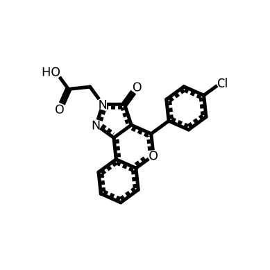 O=C(O)Cn1nc2c3ccccc3oc(-c3ccc(Cl)cc3)c-2c1=O